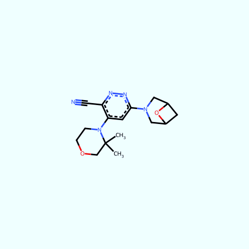 CC1(C)COCCN1c1cc(N2CC3CC(C2)O3)nnc1C#N